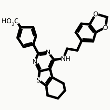 O=C(O)c1ccc(-c2nc(NCCc3ccc4c(c3)OCO4)c3c4c(sc3n2)CCCC4)cc1